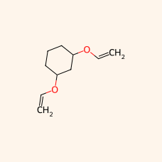 C=COC1CCCC(OC=C)C1